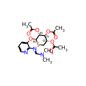 CC(=O)O[C@@H]1[C@@H](OC(C)=O)[C@H](OC(C)=O)CS[C@H]1Oc1cccnc1N=CN(C)C